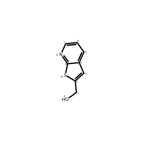 OCc1cc2cccnc2s1